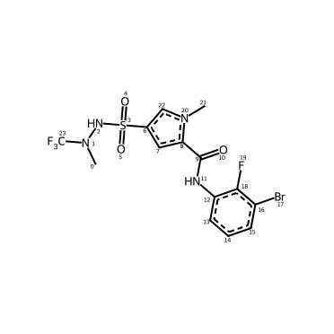 CN(NS(=O)(=O)c1cc(C(=O)Nc2cccc(Br)c2F)n(C)c1)C(F)(F)F